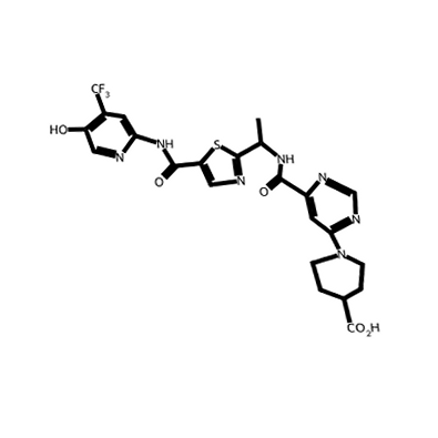 CC(NC(=O)c1cc(N2CCC(C(=O)O)CC2)ncn1)c1ncc(C(=O)Nc2cc(C(F)(F)F)c(O)cn2)s1